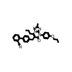 CCCOc1ccc(-n2c(=O)c(Cc3ccc(-c4ccccc4C#N)cc3)c(CCC)n3nc(C)nc23)cc1